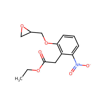 CCOC(=O)Cc1c(OCC2CO2)cccc1[N+](=O)[O-]